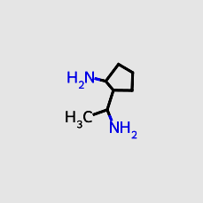 CC(N)C1CCCC1N